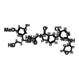 COc1cc(F)cc([C@@H](CCO)[SiH2]NC(=O)CN2Cc3ccc(-c4nc(NC5CCOCC5)ncc4Cl)cc3C2=O)c1